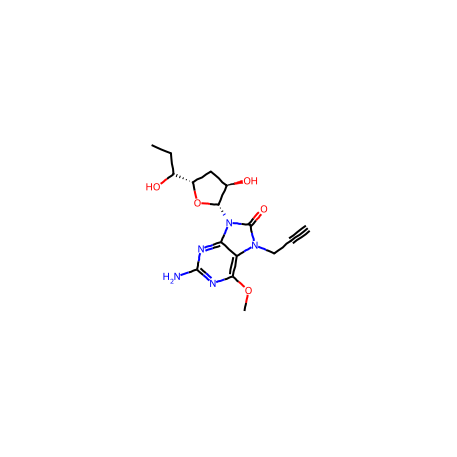 C#CCn1c(=O)n([C@@H]2O[C@H](C(O)CC)C[C@H]2O)c2nc(N)nc(OC)c21